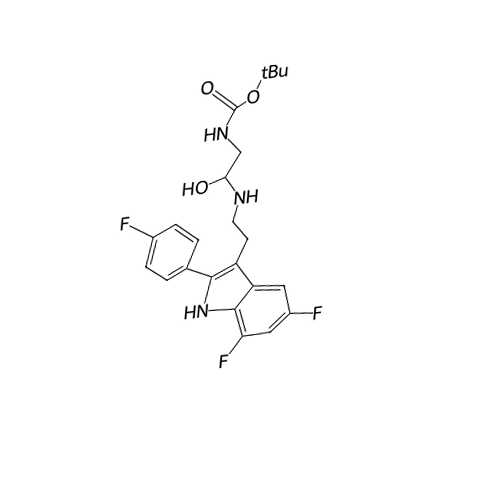 CC(C)(C)OC(=O)NCC(O)NCCc1c(-c2ccc(F)cc2)[nH]c2c(F)cc(F)cc12